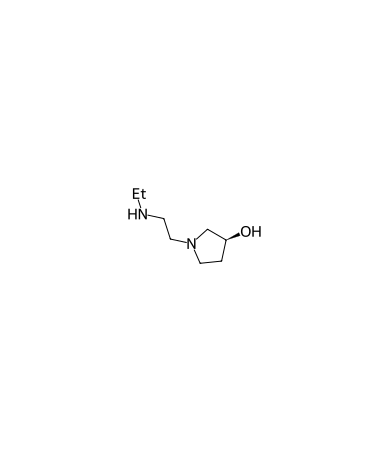 CCNCCN1CC[C@H](O)C1